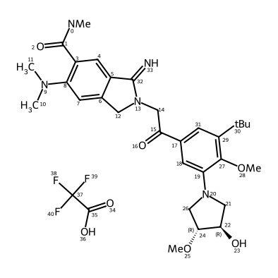 CNC(=O)c1cc2c(cc1N(C)C)CN(CC(=O)c1cc(N3C[C@@H](O)[C@H](OC)C3)c(OC)c(C(C)(C)C)c1)C2=N.O=C(O)C(F)(F)F